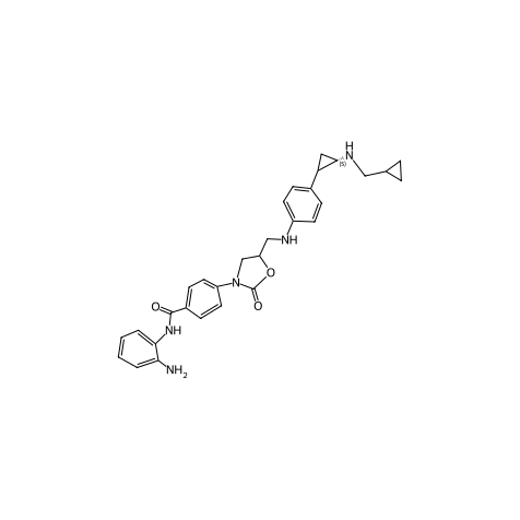 Nc1ccccc1NC(=O)c1ccc(N2CC(CNc3ccc(C4C[C@@H]4NCC4CC4)cc3)OC2=O)cc1